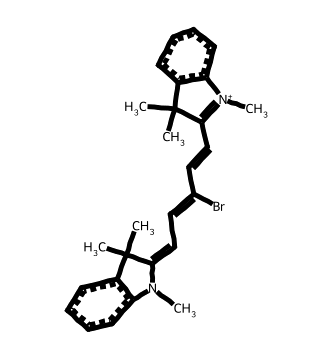 CN1/C(=C/C=C(Br)/C=C/C2=[N+](C)c3ccccc3C2(C)C)C(C)(C)c2ccccc21